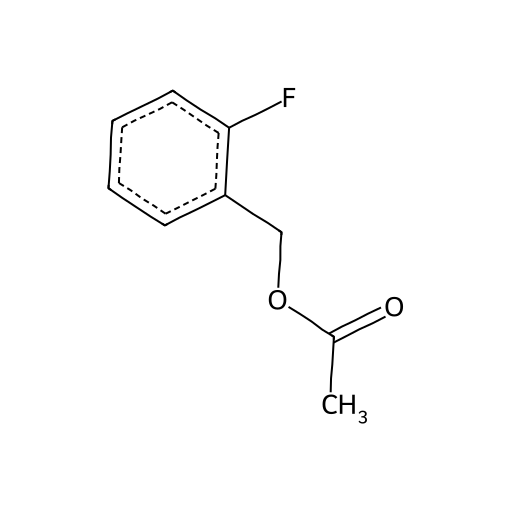 CC(=O)OCc1ccccc1F